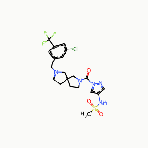 CS(=O)(=O)Nc1cnn(C(=O)N2CCC3(CCN(Cc4cc(Cl)cc(C(F)(F)F)c4)C3)C2)c1